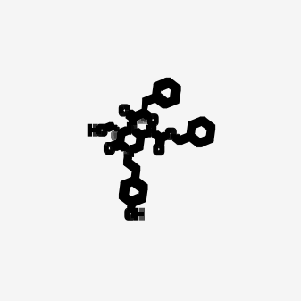 O=C1[C@H](CO)N2C(=O)[C@@H](Cc3ccccc3)ON(C(=O)OCC3CCCCC3)C2CN1CCc1ccc(O)cc1